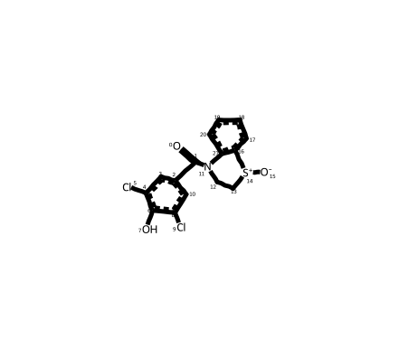 O=C(c1cc(Cl)c(O)c(Cl)c1)N1CC[S+]([O-])c2ccccc21